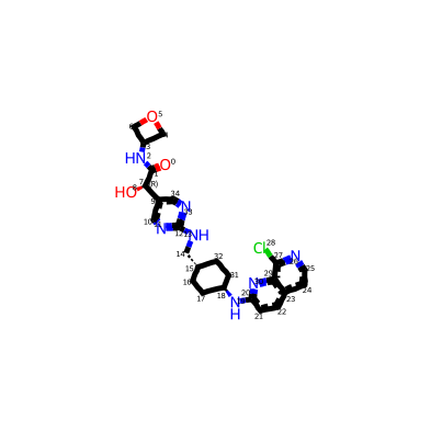 O=C(NC1COC1)[C@H](O)c1cnc(NC[C@H]2CC[C@H](Nc3ccc4ccnc(Cl)c4n3)CC2)nc1